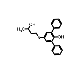 CC(O)CCSc1cc(-c2ccccc2)c(O)c(-c2ccccc2)c1